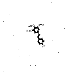 CCc1ccc(/C=C/c2cc(OC)c(OC)c(OC)c2)cc1